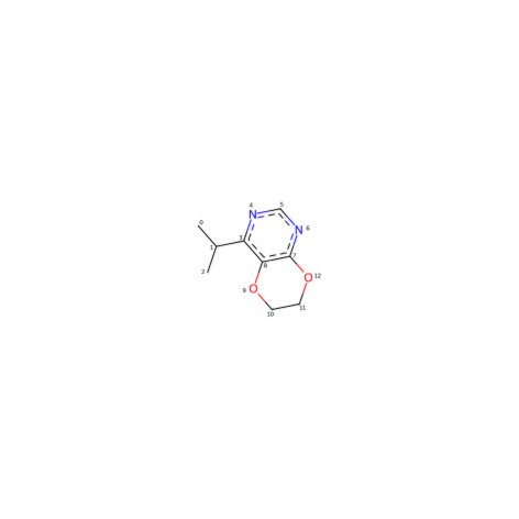 CC(C)c1ncnc2c1OCCO2